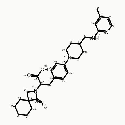 Cc1ccnc(NCC2CCN(c3ccc(CC(C(=O)O)N4CC5(CCCCC5)C4=O)cc3)CC2)c1